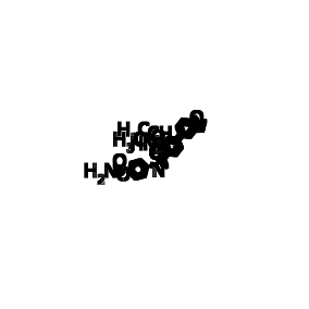 CC(C)(C)NS(=O)(=O)c1cc(-c2ccc3occc3c2)ccc1-c1cnc([C@H]2CC[C@H](OC(N)=O)CC2)s1